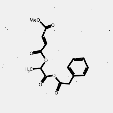 COC(=O)/C=C/C(=O)OC(C)C(=O)OC(=O)Cc1ccccc1